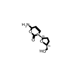 NC1C=CN([C@H]2CC[C@@H](CO)O2)C(=O)O1